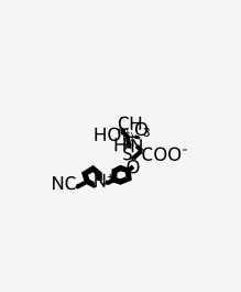 C[C@@H](O)[C@H]1C(=O)N2C(C(=O)[O-])C(Oc3ccc(C[n+]4cccc(CC#N)c4)cc3)S[C@H]12